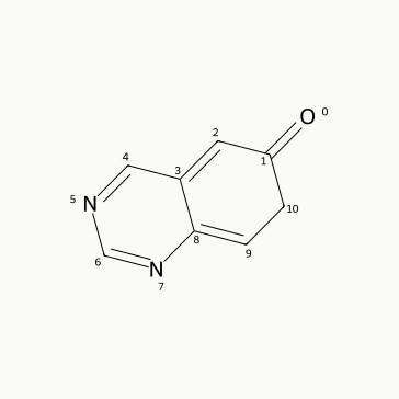 O=C1C=c2cncnc2=CC1